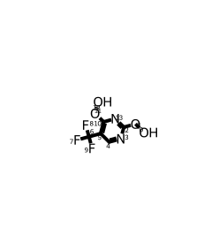 OOc1ncc(C(F)(F)F)c(OO)n1